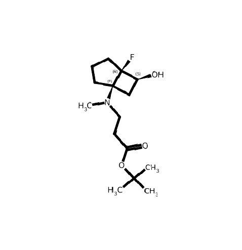 CN(CCC(=O)OC(C)(C)C)[C@@]12CCC[C@]1(F)[C@@H](O)C2